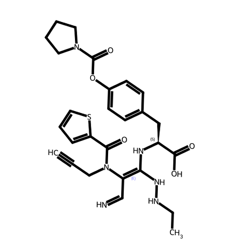 C#CCN(C(=O)c1cccs1)/C(C=N)=C(/NNCC)N[C@@H](Cc1ccc(OC(=O)N2CCCC2)cc1)C(=O)O